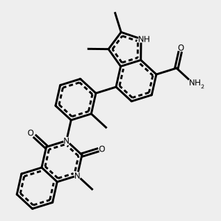 Cc1[nH]c2c(C(N)=O)ccc(-c3cccc(-n4c(=O)c5ccccc5n(C)c4=O)c3C)c2c1C